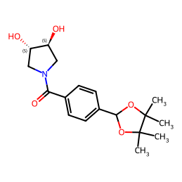 CC1(C)OC(c2ccc(C(=O)N3C[C@H](O)[C@@H](O)C3)cc2)OC1(C)C